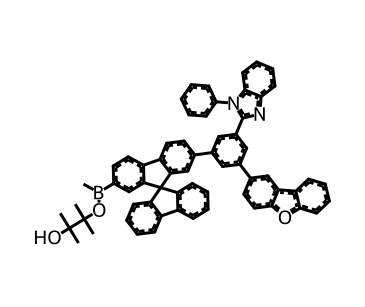 CB(OC(C)(C)C(C)(C)O)c1ccc2c(c1)C1(c3ccccc3-c3ccccc31)c1cc(-c3cc(-c4ccc5oc6ccccc6c5c4)cc(-c4nc5ccccc5n4-c4ccccc4)c3)ccc1-2